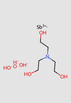 OCCN(CCO)CCO.[OH-].[OH-].[OH-].[Sb+3]